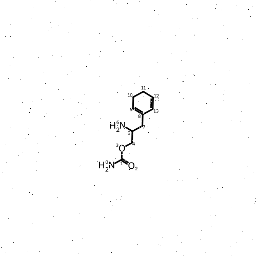 NC(=O)OCC(N)CC1=CCCC=C1